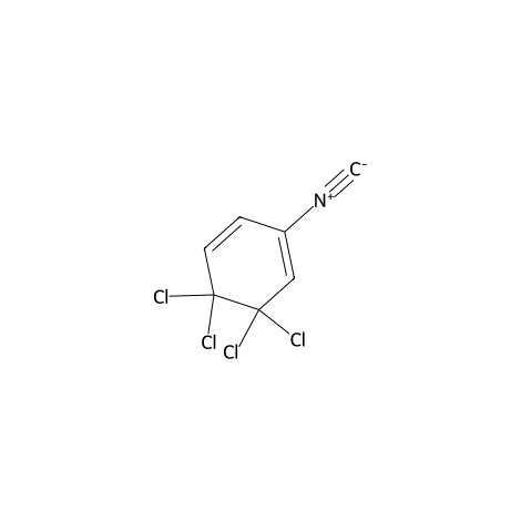 [C-]#[N+]C1=CC(Cl)(Cl)C(Cl)(Cl)C=C1